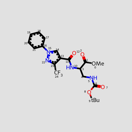 COC(=O)C(CNC(=O)OC(C)(C)C)NC(=O)c1cn(-c2ccccc2)nc1C(F)(F)F